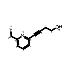 OCCC#Cc1cccc(CF)n1